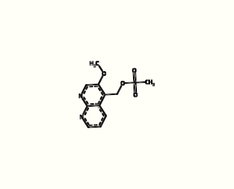 COc1cnc2ncccc2c1COS(C)(=O)=O